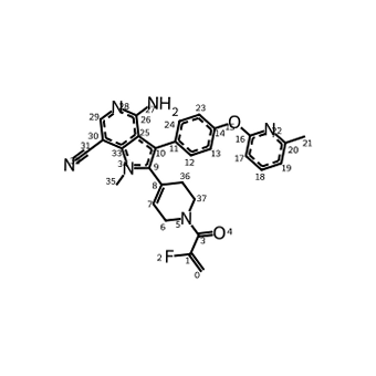 C=C(F)C(=O)N1CC=C(c2c(-c3ccc(Oc4cccc(C)n4)cc3)c3c(N)ncc(C#N)c3n2C)CC1